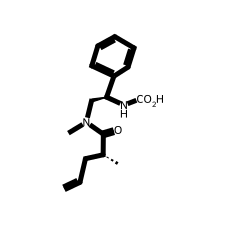 C=CC[C@@H](C)C(=O)N(C)C[C@H](NC(=O)O)c1ccccc1